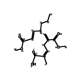 C=C(CC=C(C)C(=O)O)C(=O)OC.CCCSC=CC(=O)OC